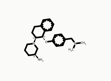 CN(C)Cc1ccc(O[C@H]2c3ccccc3CC[C@@H]2N2CCC[C@H](N)C2)cc1